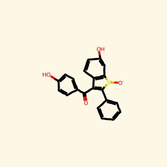 O=C(c1ccc(O)cc1)c1c(-c2ccccc2)[s+]([O-])c2cc(O)ccc12